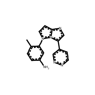 Cc1ccc(N)cc1-n1ccc2ncc(-c3ccnnc3)n21